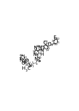 CN(CCCc1nc(-c2cc3c(Nc4ccc(OCc5cccc(F)c5)c(Cl)c4)ncnc3cn2)cs1)CCS(=O)(=O)c1ccccn1